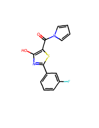 O=C(c1sc(-c2cccc(F)c2)nc1O)n1cccc1